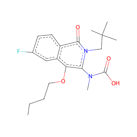 CCCCOc1c(N(C)C(=O)O)n(CC(C)(C)C)c(=O)c2ccc(F)cc12